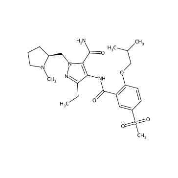 CCc1nn(C[C@@H]2CCCN2C)c(C(N)=O)c1NC(=O)c1cc(S(C)(=O)=O)ccc1OCC(C)C